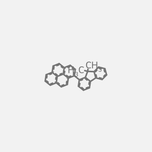 CC1(C)c2ccccc2-c2cccc(-c3ccc4ccc5cccc6ccc3c4c56)c21